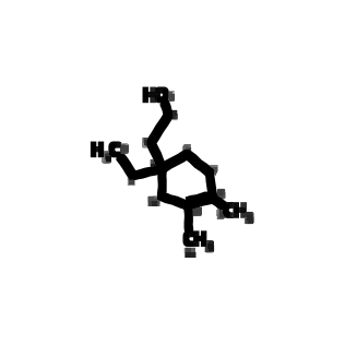 CCC1(CCO)CCC(C)=C(C)C1